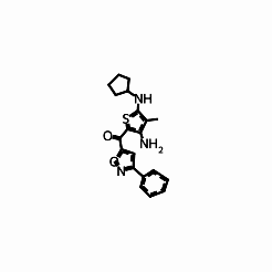 Cc1c(NC2CCCC2)sc(C(=O)c2cc(-c3ccccc3)no2)c1N